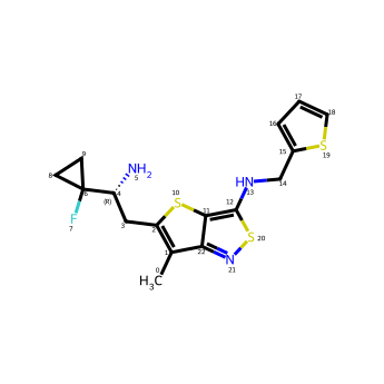 Cc1c(C[C@@H](N)C2(F)CC2)sc2c(NCc3cccs3)snc12